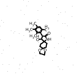 Cc1cc(C)c(C2C(=O)NC3(CCC4(CC3)OCCO4)C2O)c(C)c1C